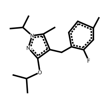 Cc1ccc(Cc2c(OC(C)C)nn(C(C)C)c2C)c(F)c1